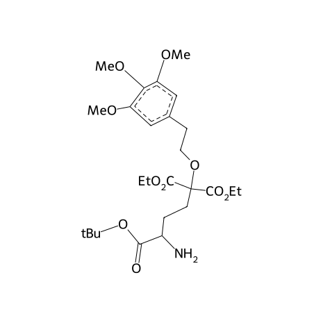 CCOC(=O)C(CCC(N)C(=O)OC(C)(C)C)(OCCc1cc(OC)c(OC)c(OC)c1)C(=O)OCC